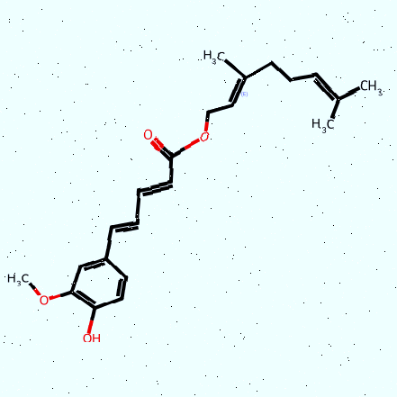 COc1cc(C=CC=CC(=O)OC/C=C(\C)CCC=C(C)C)ccc1O